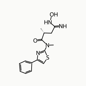 C[C@H](CC(=N)NO)C(=O)N(C)c1nc(-c2ccccc2)cs1